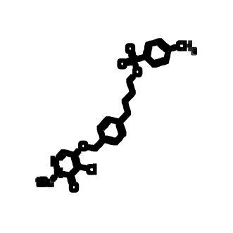 Cc1ccc(S(=O)(=O)OCCCCc2ccc(COc3cnn(C(C)(C)C)c(=O)c3Cl)cc2)cc1